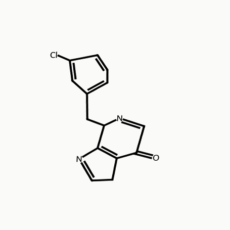 O=C1C=NC(Cc2cccc(Cl)c2)C2=C1CC=N2